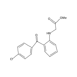 COC(=O)CNc1ccccc1C(=O)c1ccc(Cl)cc1